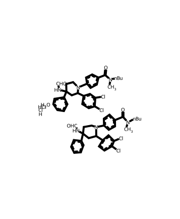 CCCCN(C)C(=O)c1ccc(N2CCC(NC=O)(c3ccccc3)CC2c2ccc(Cl)c(Cl)c2)cc1.CCCCN(C)C(=O)c1ccc(N2CCC(NC=O)(c3ccccc3)CC2c2ccc(Cl)c(Cl)c2)cc1.Cl.Cl.O